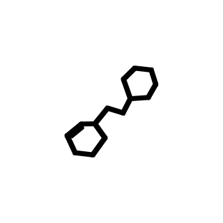 C1=CC(CCC2CCCCC2)CCC1